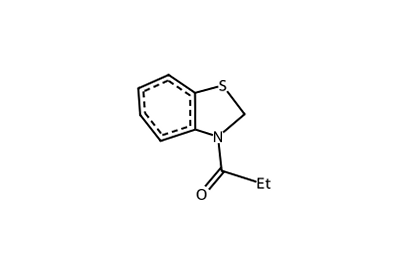 CCC(=O)N1CSc2ccccc21